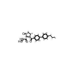 CCCc1ccc(-c2ccc(C(=O)N3CC[S+]([O-])[C@H]3C(=O)NO)cc2)cc1